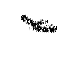 C[C@@H](Cn1cnnn1)Oc1cc(-c2cnc(Nc3cn([C@H]4CC[C@H](N5CCOCC5)CC4)nc3OCC(C)(C)O)nc2)ccc1Cl